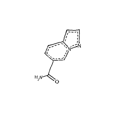 NC(=O)c1ccc2ccnn2c1